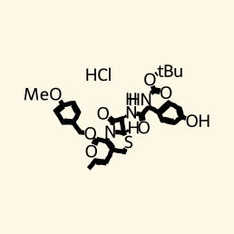 CC=CC1=C(C(=O)OCc2ccc(OC)cc2)N2C(=O)[C@@H](NC(=O)C(NC(=O)OC(C)(C)C)c3ccc(O)cc3)[C@@H]2SC1.Cl